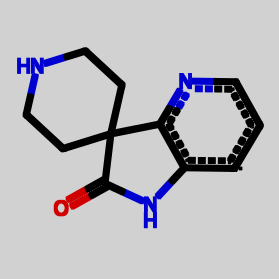 O=C1Nc2[c]ccnc2C12CCNCC2